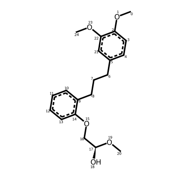 COc1ccc(CC[CH]c2ccccc2OC[C@H](O)OC)cc1OC